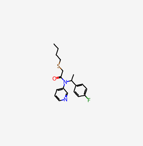 CCCCSCC(=O)N(c1cccnc1)C(C)c1ccc(F)cc1